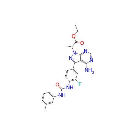 CCOC(=O)C(C)n1nc(-c2ccc(NC(=O)Nc3cccc(C)c3)c(F)c2)c2c(N)ncnc21